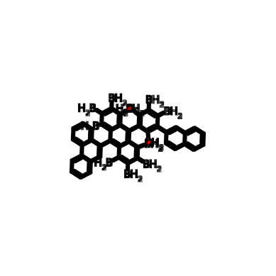 Bc1c(B)c(-c2ccc3ccccc3c2)c(B)c(-c2c3c(B)c(B)c(B)c(B)c3c(-c3cc4ccccc4c4ccccc34)c3c(B)c(B)c(B)c(B)c23)c1B